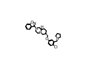 Clc1ccc(OC[C@@H]2CC[C@H]3CN(c4noc5ccccc45)CCN3C2)cc1CN1CCCC1